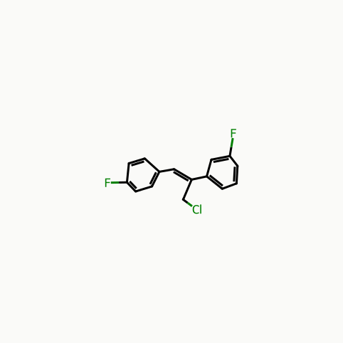 Fc1ccc(C=C(CCl)c2cccc(F)c2)cc1